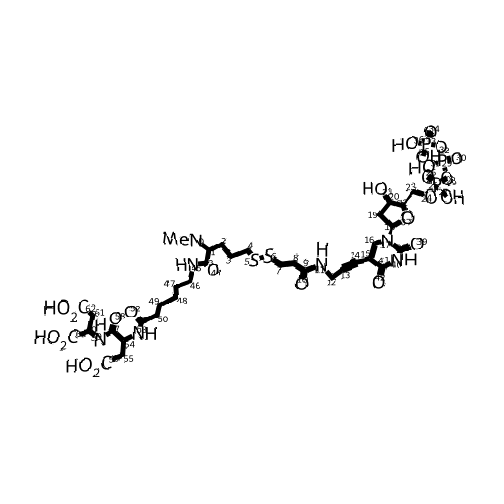 CNC(CCCSSCCC(=O)NCC#Cc1cn([C@H]2CC(O)[C@@H](COP(=O)(O)OP(=O)(O)OP(=O)(O)O)O2)c(=O)[nH]c1=O)C(=O)NCCCCCC(=O)NC(CC(=O)O)C(=O)NC(CC(=O)O)C(=O)O